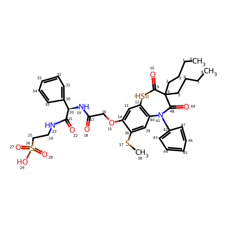 CCCCC1(CCCC)C(=O)[SH]c2cc(OCC(=O)N[C@@H](C(=O)NCCS(=O)(=O)O)c3ccccc3)c(SC)cc2N(c2ccccc2)C1=O